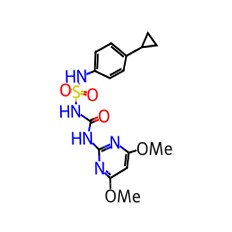 COc1cc(OC)nc(NC(=O)NS(=O)(=O)Nc2ccc(C3CC3)cc2)n1